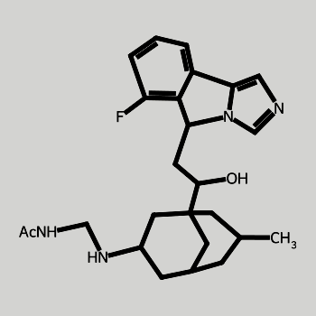 CC(=O)NCNC1CC2CC(C)CC(C(O)CC3c4c(F)cccc4-c4cncn43)(C2)C1